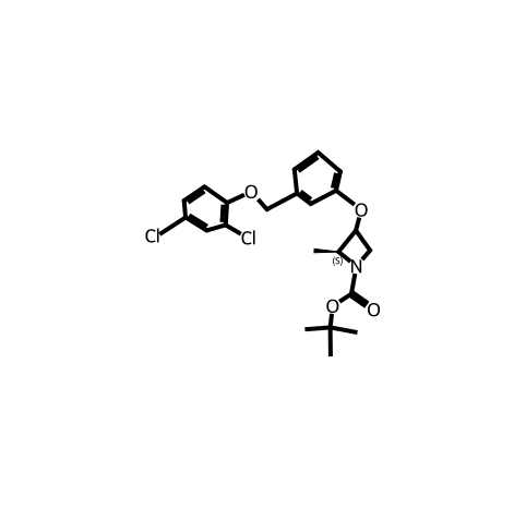 C[C@H]1C(Oc2cccc(COc3ccc(Cl)cc3Cl)c2)CN1C(=O)OC(C)(C)C